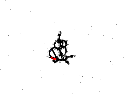 N#CC1=CN2c3ccccc3/C3=C/Cc4ccccc4N4C=C(C#N)N5C4C4C2N1CCN1CCN2C(C#N)=CN6c7ccccc7C45C3(CC1)C26